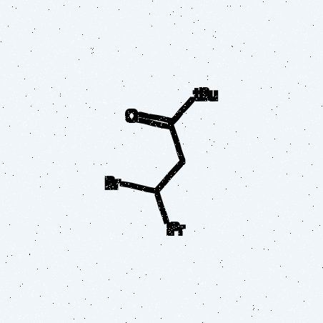 CC(C)C(Br)CC(=O)C(C)(C)C